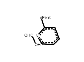 CCCCCc1ccccn1.O=CO